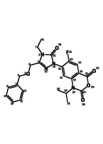 CCn1c(COCc2ccccc2)nn(-c2cc3c(cc2F)c(=O)oc(=O)n3C(C)C)c1=O